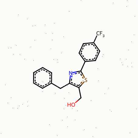 OCc1sc(-c2ccc(C(F)(F)F)cc2)nc1Cc1ccccc1